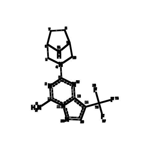 Nc1nc(N2CC3CCC(C2)N3)nc2c(C(F)(F)F)cnn12